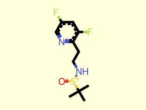 CC(C)(C)[S+]([O-])NCCc1ncc(F)cc1F